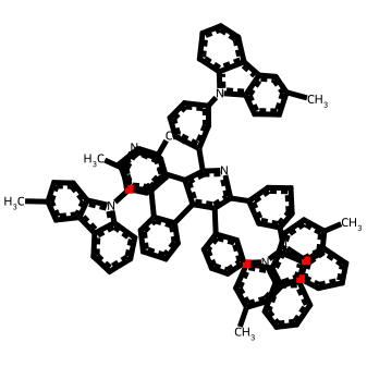 Cc1ccc2c(c1)c1ccccc1n2-c1cccc(-c2nc(-c3cccc(-n4c5ccccc5c5cc(C)ccc54)c3)c(-c3cccc(-n4c5ccccc5c5cc(C)ccc54)c3)c(-c3ccccc3-c3cc(C)nc(C)c3)c2-c2cccc(-n3c4ccccc4c4cc(C)ccc43)c2)c1